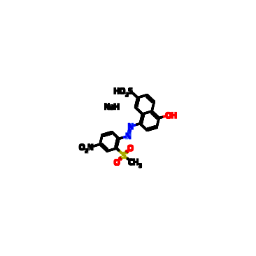 CS(=O)(=O)c1cc([N+](=O)[O-])ccc1N=Nc1ccc(O)c2ccc(S(=O)(=O)O)cc12.[NaH]